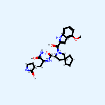 COc1cccc2[nH]c(C(=O)N3CC4(CCCC4)C[C@H]3C(=O)NC(C[C@@H]3CCNC3=O)C(N)=O)cc12